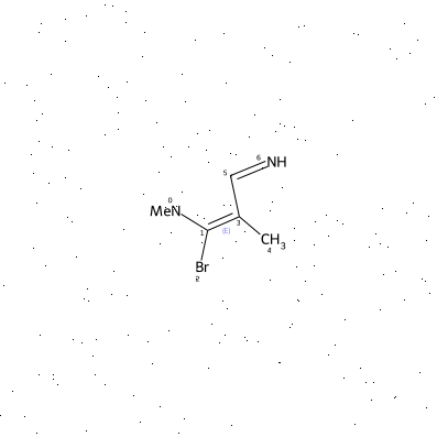 CN/C(Br)=C(/C)C=N